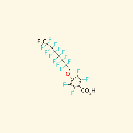 O=C(O)c1c(F)c(F)c(OCC(F)(F)C(F)(F)C(F)(F)C(F)(F)C(F)(F)C(F)(F)C(F)(F)F)c(F)c1F